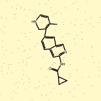 CC1=C(c2ccc3cc(NC(=O)C4CC4)ncc3c2)CNC=C1